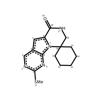 CSc1ncc2cc3n(c2n1)C1(CCCCC1)CNC3=O